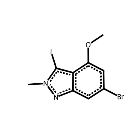 COc1cc(Br)cc2nn(C)c(I)c12